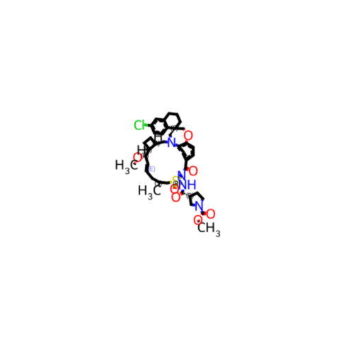 COC(=O)N1CC[C@@H](C(=O)N[S@@]2(=O)=NC(=O)c3ccc4c(c3)N(C[C@@H]3CC[C@H]3[C@@H](OC)/C=C/C[C@H](C)C2)C[C@@]2(CCCc3cc(Cl)ccc32)CO4)C1